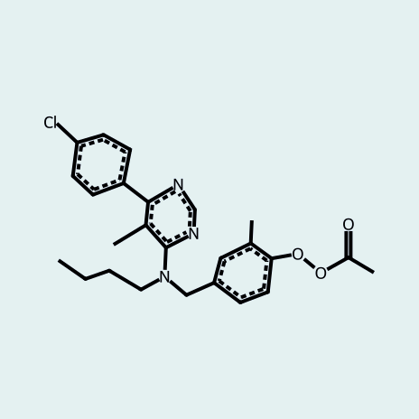 CCCCN(Cc1ccc(OOC(C)=O)c(C)c1)c1ncnc(-c2ccc(Cl)cc2)c1C